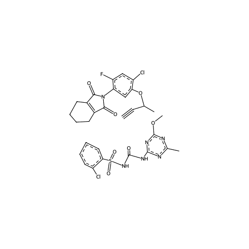 C#CC(C)Oc1cc(N2C(=O)C3=C(CCCC3)C2=O)c(F)cc1Cl.COc1nc(C)nc(NC(=O)NS(=O)(=O)c2ccccc2Cl)n1